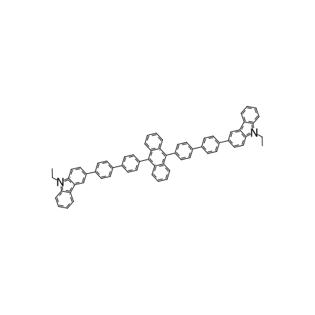 CCn1c2ccccc2c2cc(-c3ccc(-c4ccc(-c5c6ccccc6c(-c6ccc(-c7ccc(-c8ccc9c(c8)c8ccccc8n9CC)cc7)cc6)c6ccccc56)cc4)cc3)ccc21